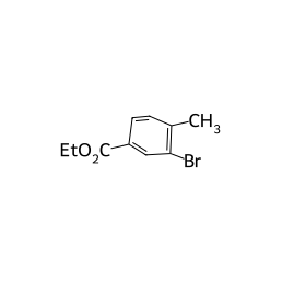 CCOC(=O)c1ccc(C)c(Br)c1